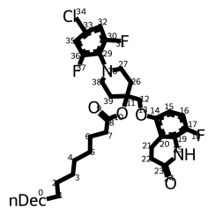 CCCCCCCCCCCCCCCCCC(=O)OC1(COc2ccc(F)c3c2CCC(=O)N3)CCN(c2c(F)cc(Cl)cc2F)CC1